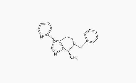 C[C@H]1c2ncn(-c3ccccn3)c2CCN1Cc1ccccc1